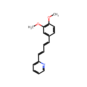 COc1ccc(/C=C/C=C/c2ccccn2)cc1OC